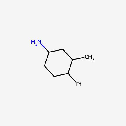 CCC1CCC(N)CC1C